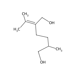 CC(C)=C(CO)CCC(C)CO